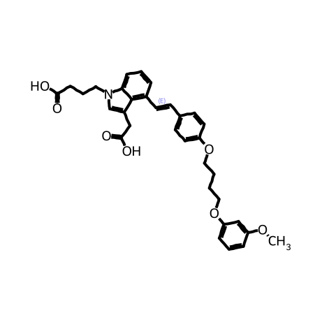 COc1cccc(OCCCCOc2ccc(/C=C/c3cccc4c3c(CC(=O)O)cn4CCCC(=O)O)cc2)c1